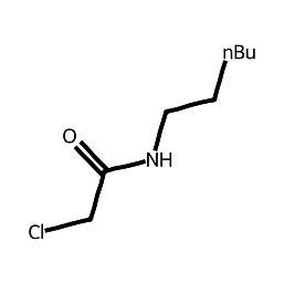 CCCCCCNC(=O)CCl